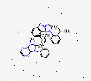 CC(C)c1cccc(C(C)C)c1N1C=CN(C)C1(C)c1ccccc1C[C@H]1c2ccccc2N2c3nccnc3N(C)C12